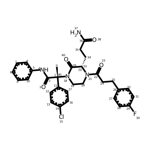 C[C@](C(=O)Nc1ccccc1)(c1ccc(Cl)cc1)N1CCN(C(=O)[CH]Cc2ccc(F)cc2)[C@@H](CCC(N)=O)C1=O